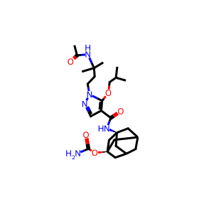 CC(=O)NC(C)(C)CCn1ncc(C(=O)N[C@]23CC4CC(C2)C[C@](OC(N)=O)(C4)C3)c1OCC(C)C